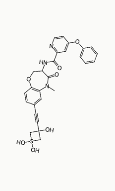 CN1C(=O)C(NC(=O)c2cc(Oc3ccccc3)ccn2)COc2ccc(C#CC3(O)CS(O)(O)C3)cc21